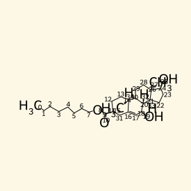 CCCCCCCCOC(=O)[C@H]1CC[C@@]2(C)C(=C[C@H](O)[C@H]3[C@@H]4CC[C@H](O)[C@@]4(C)CC[C@@H]32)C1